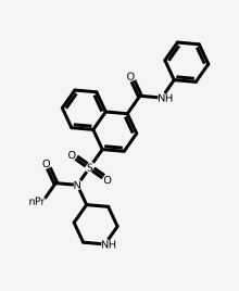 CCCC(=O)N(C1CCNCC1)S(=O)(=O)c1ccc(C(=O)Nc2ccccc2)c2ccccc12